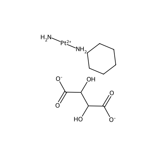 C1CCCCC1.O=C([O-])C(O)C(O)C(=O)[O-].[NH2][Pt+2][NH2]